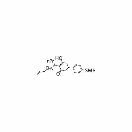 C=CCON=C(CCC)C1=C(O)CC(c2ccc(SC)cc2)CC1=O